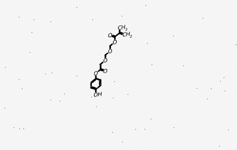 C=C(C)C(=O)OCOCOCC(=O)Oc1ccc(O)cc1